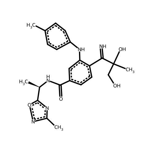 Cc1ccc(Nc2cc(C(=O)N[C@H](C)c3nc(C)no3)ccc2C(=N)C(C)(O)CO)cc1